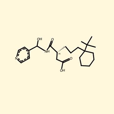 CC(C)(C)C1(CCC[C@H](CC(=O)O)C(=O)NC(O)c2ccncc2)CCCCC1